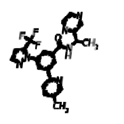 Cc1ccc(-c2cc(C(=O)NC(C)c3cnccn3)cc(-n3nccc3C(F)(F)F)c2)nc1